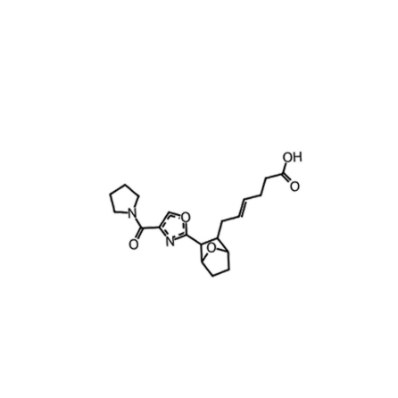 O=C(O)CCC=CCC1C2CCC(O2)C1c1nc(C(=O)N2CCCC2)co1